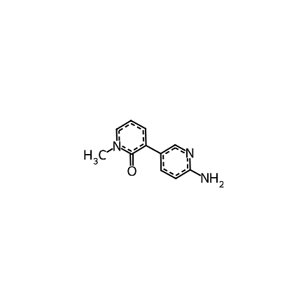 Cn1cccc(-c2ccc(N)nc2)c1=O